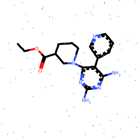 CCOC(=O)C1CCCN(c2nc(N)nc(N)c2-c2cccnc2)C1